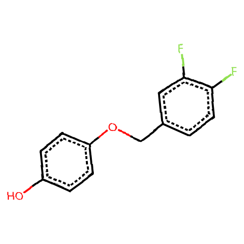 Oc1ccc(OCc2ccc(F)c(F)c2)cc1